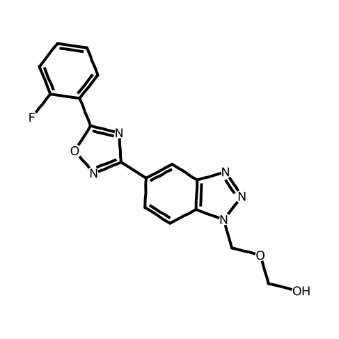 OCOCn1nnc2cc(-c3noc(-c4ccccc4F)n3)ccc21